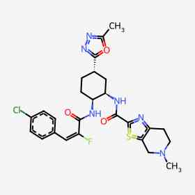 Cc1nnc([C@H]2CC[C@H](NC(=O)/C(F)=C\c3ccc(Cl)cc3)[C@H](NC(=O)c3nc4c(s3)CN(C)CC4)C2)o1